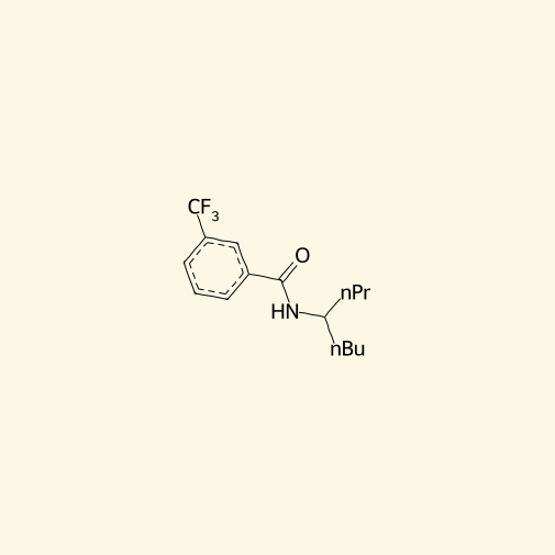 CCCCC(CCC)NC(=O)c1cccc(C(F)(F)F)c1